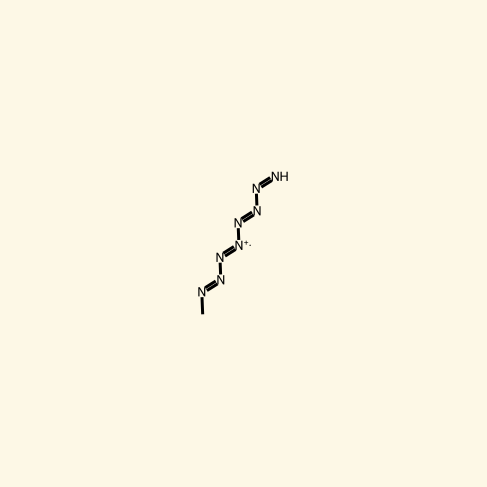 CN=NN=[N+]N=NN=N